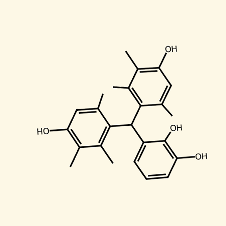 Cc1cc(O)c(C)c(C)c1C(c1cccc(O)c1O)c1c(C)cc(O)c(C)c1C